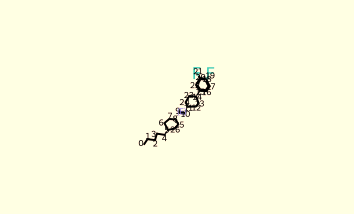 CCCCC[C@H]1CC[C@H](/C=C/[C@H]2CC[C@H](c3ccc(F)c(F)c3)CC2)CC1